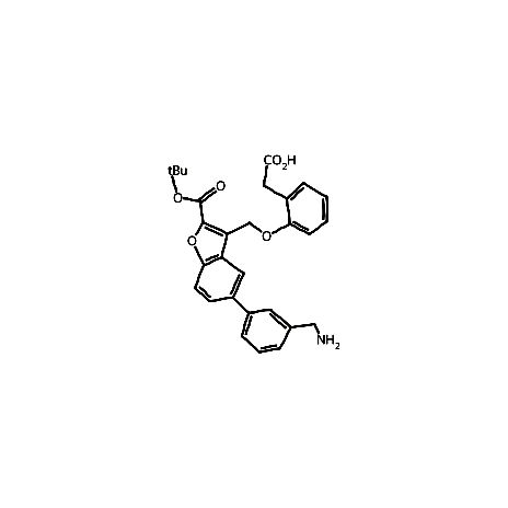 CC(C)(C)OC(=O)c1oc2ccc(-c3cccc(CN)c3)cc2c1COc1ccccc1CC(=O)O